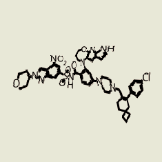 O=C(NS(=O)(=O)c1cc([N+](=O)[O-])c2cn(C3CCOCC3)nc2c1)c1ccc(N2CCN(CC3=C(c4ccc(Cl)cc4)CC4(CCC4)CC3)CC2)cc1N1CCCOc2nc3[nH]ccc3cc21